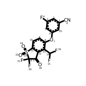 N#Cc1cc(F)cc(Oc2ccc3c(c2C(F)F)C(=O)C(F)(F)S3(=O)=O)c1